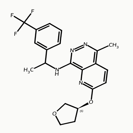 Cc1nnc(NC(C)c2cccc(C(F)(F)F)c2)c2nc(O[C@H]3CCOC3)ccc12